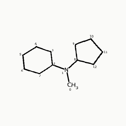 CN(C1CCCCC1)C1CCCC1